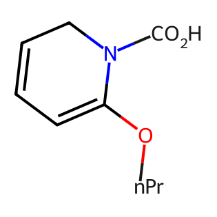 CCCOC1=CC=CCN1C(=O)O